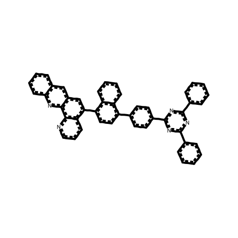 c1ccc(-c2nc(-c3ccccc3)nc(-c3ccc(-c4ccc(-c5cc6cc7ccccc7nc6c6ncccc56)c5ccccc45)cc3)n2)cc1